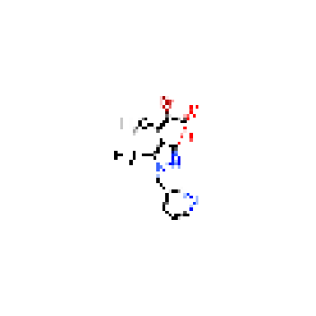 Cc1c(Br)c(=O)oc2nn(Cc3cccnc3)c(C)c12